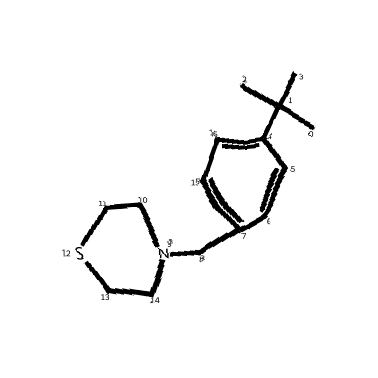 CC(C)(C)c1ccc(CN2CCSCC2)cc1